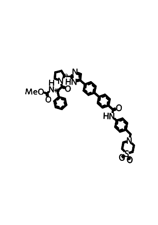 COC(=O)N[C@H](C(=O)N1CCC[C@H]1c1ncc(-c2ccc(-c3ccc(C(=O)Nc4ccc(CN5CCS(=O)(=O)CC5)cc4)cc3)cc2)[nH]1)c1ccccc1